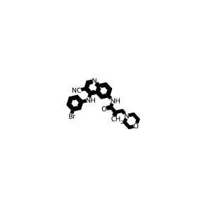 C=C(CN1CCOCC1)C(=O)Nc1ccc2ncc(C#N)c(Nc3cccc(Br)c3)c2c1